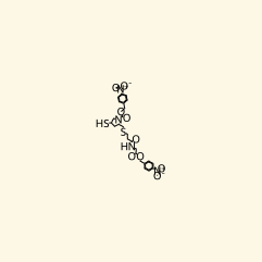 O=C(CCSCC1CC(S)CN1C(=O)OCc1ccc([N+](=O)[O-])cc1)NCC(=O)OCc1ccc([N+](=O)[O-])cc1